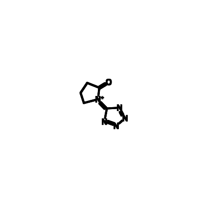 O=C1CCC[N+]1=C1N=NN=N1